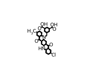 Cc1ccc2c(c1)c(=O)c1cc3[nH]c4ccc(Cl)cc4c(=O)c3cc1n2Cc1cc(C(=O)O)cc(C(=O)O)c1